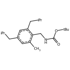 Cc1cc(CC(C)C)cc(CC(C)C)c1CNC(=O)OC(C)(C)C